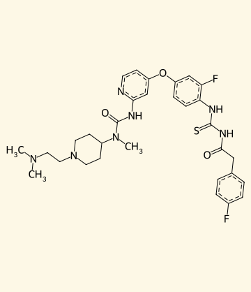 CN(C)CCN1CCC(N(C)C(=O)Nc2cc(Oc3ccc(NC(=S)NC(=O)Cc4ccc(F)cc4)c(F)c3)ccn2)CC1